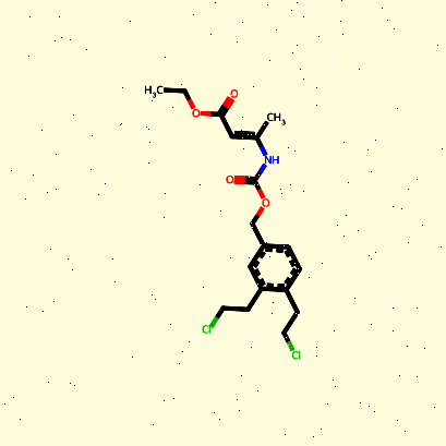 CCOC(=O)C=C(C)NC(=O)OCc1ccc(CCCl)c(CCCl)c1